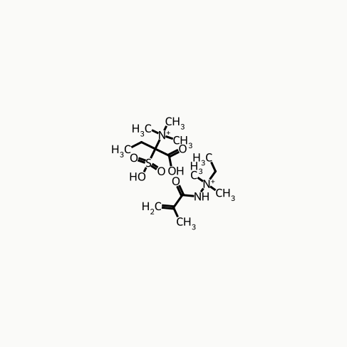 C=C(C)C(=O)N[N+](C)(C)CC.CCC(C(=O)O)([N+](C)(C)C)S(=O)(=O)O